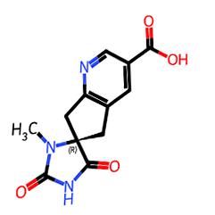 CN1C(=O)NC(=O)[C@]12Cc1cc(C(=O)O)cnc1C2